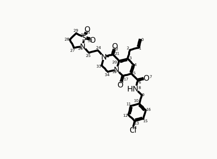 C=CCc1cc(C(=O)NCc2ccc(Cl)cc2)c(=O)n2c1C(=O)N(CCN1CCCS1(=O)=O)CC2